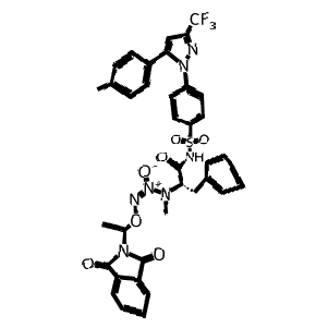 Cc1ccc(-c2cc(C(F)(F)F)nn2-c2ccc(S(=O)(=O)NC(=O)[C@H](Cc3ccccc3)N(C)/[N+]([O-])=N\OC(C)N3C(=O)c4ccccc4C3=O)cc2)cc1